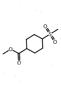 COC(=O)C1CCC(S(C)(=O)=O)CC1